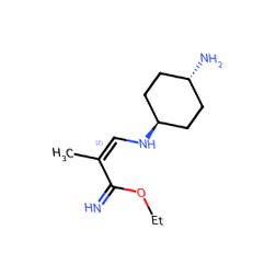 CCOC(=N)/C(C)=C\N[C@H]1CC[C@H](N)CC1